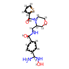 NC(NO)c1ccc(C(=O)NCC2COCCN2C(=O)c2cccs2)cc1